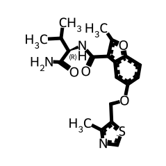 Cc1ncsc1COc1ccc2oc(C)c(C(=O)N[C@@H](C(N)=O)C(C)C)c2c1